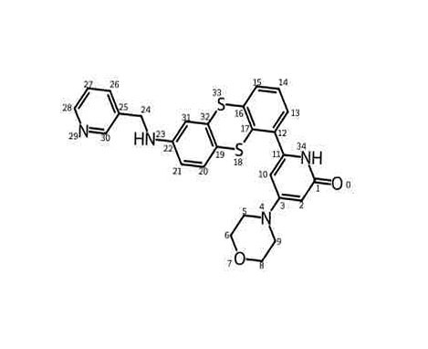 O=c1cc(N2CCOCC2)cc(-c2cccc3c2Sc2ccc(NCc4cccnc4)cc2S3)[nH]1